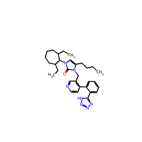 CCCCc1cn(C2C(CC)CCCCC2CC)c(=O)n1Cc1cnccc1-c1ccccc1-c1nnn[nH]1